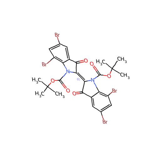 CC(C)(C)OC(=O)N1/C(=C2\C(=O)c3cc(Br)cc(Br)c3N2C(=O)OC(C)(C)C)C(=O)c2cc(Br)cc(Br)c21